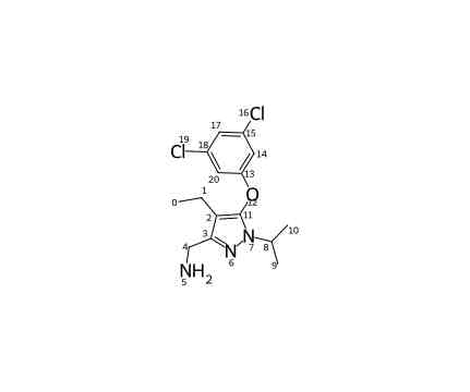 CCc1c(CN)nn(C(C)C)c1Oc1cc(Cl)cc(Cl)c1